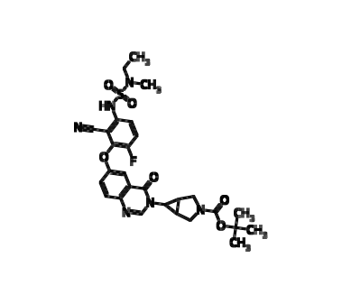 CCN(C)S(=O)(=O)Nc1ccc(F)c(Oc2ccc3ncn(C4C5CN(C(=O)OC(C)(C)C)CC54)c(=O)c3c2)c1C#N